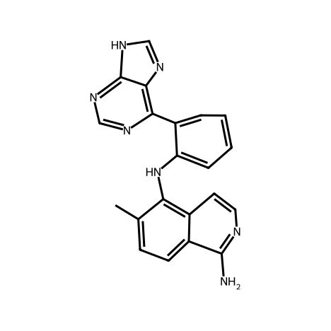 Cc1ccc2c(N)nccc2c1Nc1ccccc1-c1ncnc2[nH]cnc12